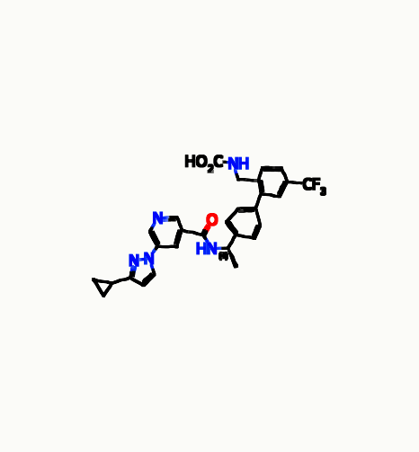 C[C@@H](NC(=O)c1cncc(-n2ccc(C3CC3)n2)c1)c1ccc(-c2cc(C(F)(F)F)ccc2CNC(=O)O)cc1